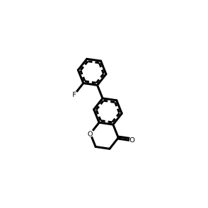 O=C1CCOc2cc(-c3ccccc3F)ccc21